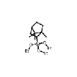 CCO[Si](OCC)(OCC)C1CC2CCC1(C)C2(C)C